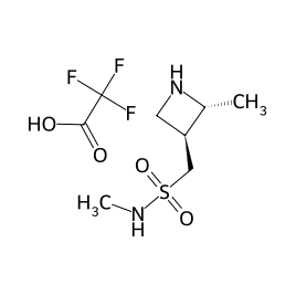 CNS(=O)(=O)C[C@H]1CN[C@@H]1C.O=C(O)C(F)(F)F